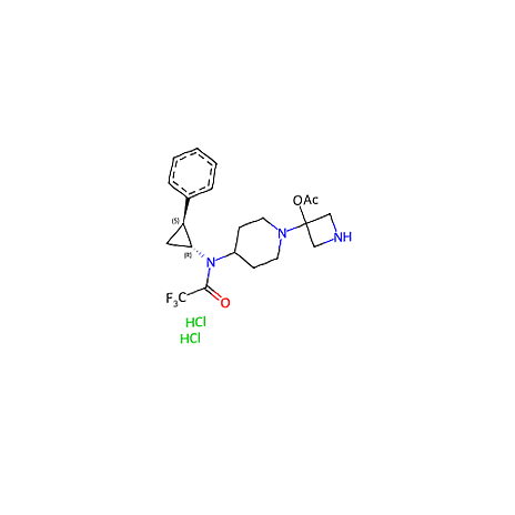 CC(=O)OC1(N2CCC(N(C(=O)C(F)(F)F)[C@@H]3C[C@H]3c3ccccc3)CC2)CNC1.Cl.Cl